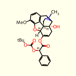 COc1ccc2c3c1O[C@H]1C(OC(=O)[C@H](OC(=O)OC(C)(C)C)c4ccccc4)=CC[C@]4(O)C(C2)N(C)CC[C@]314